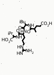 CCC(C)C(NC(=O)C(C)CCC(=O)O)C(=O)NC(CCCNC(=N)N)C(=O)NC(C(=O)O)C(C)C